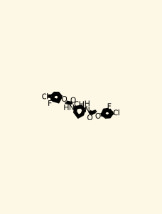 CC1(NC(=O)COc2ccc(Cl)c(F)c2)CCCC(NC(=O)COc2ccc(Cl)c(F)c2)C1